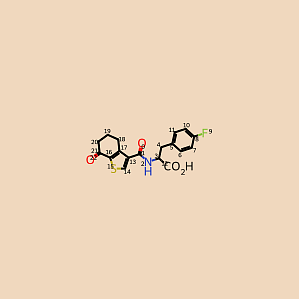 O=C(NC(Cc1ccc(F)cc1)C(=O)O)c1csc2c1CCCC2=O